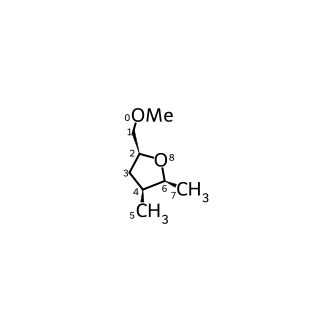 COC[C@@H]1C[C@H](C)[C@H](C)O1